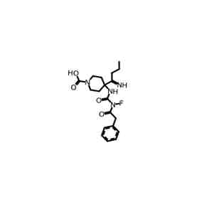 CCCC(=N)C1(NC(=O)N(F)C(=O)Cc2ccccc2)CCN(C(=O)O)CC1